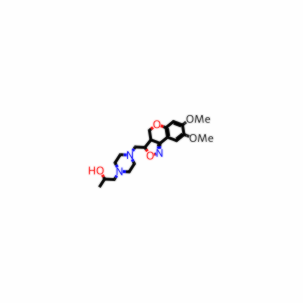 COc1cc2c(cc1OC)C1=NOC(CN3CCN(CC(C)O)CC3)C1CO2